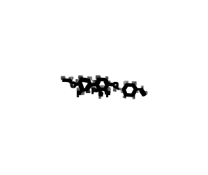 C=C[C@H]1CC[C@H](COC2=CC=C(c3ccc(OCC)c(F)c3)C(F)(F)C2F)CC1